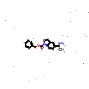 C[C@@H](N)c1ccc2c(c1)CCN2C(=O)OCc1ccccc1